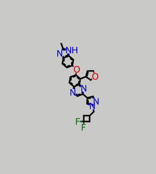 Cc1nc2ccc(Oc3ccc4ncc(-c5cnn(CC6CC(F)(F)C6)c5)nc4c3C3=CCOC3)cc2[nH]1